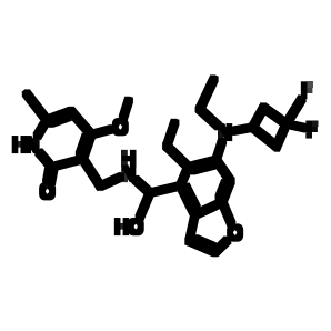 CCc1c(N(CC)C2CC(F)(F)C2)cc2occc2c1C(O)NCc1c(OC)cc(C)[nH]c1=O